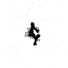 CCN(CC)CCCNc1nc(Nc2ccc(/C=C/c3ccc(Nc4nc(NCCCN(CC)CC)nc(N5CCOCC5)n4)cc3S(=O)(=O)O)c(SOOO)c2)nc(N2CCOCC2)n1